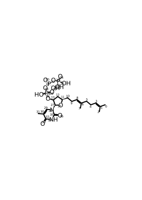 CC(C)=CCC/C(C)=C/CC[C@@H]1CC(OP(=O)(O)OP(=O)(O)OP(=O)(O)O)[C@H](n2cc(C)c(=O)[nH]c2=O)O1